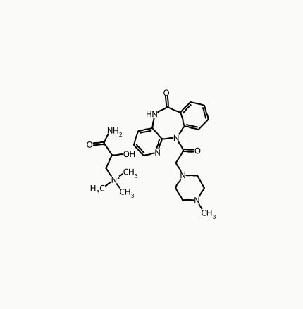 CN1CCN(CC(=O)N2c3ccccc3C(=O)Nc3cccnc32)CC1.C[N+](C)(C)CC(O)C(N)=O